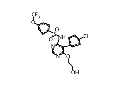 O=S(=O)(Nc1ncnc(OCCO)c1-c1ccc(Cl)cc1)c1ccc(OC(F)(F)F)cc1